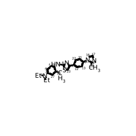 CCN(CC)c1ccc(Nc2nc(-c3ccc(-n4ccnc4C)cc3)cs2)c(C)c1